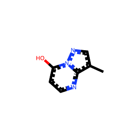 Cc1cnn2c(O)ccnc12